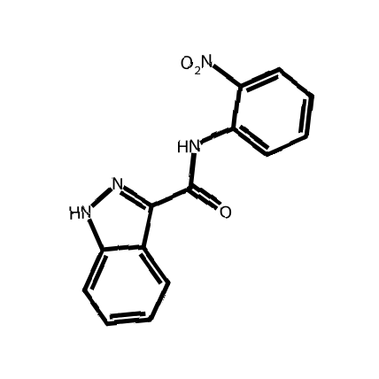 O=C(Nc1ccccc1[N+](=O)[O-])c1n[nH]c2ccccc12